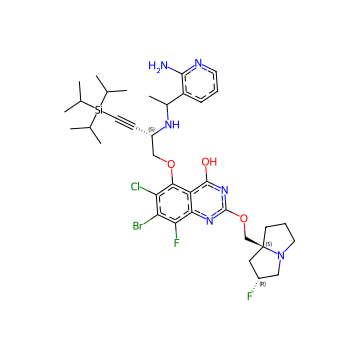 CC(N[C@@H](C#C[Si](C(C)C)(C(C)C)C(C)C)COc1c(Cl)c(Br)c(F)c2nc(OC[C@@]34CCCN3C[C@H](F)C4)nc(O)c12)c1cccnc1N